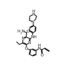 C=CC(=O)Nc1cccc(Oc2nc(Nc3ccc(N4CCNCC4)cc3)c(C(N)=O)nc2CC)c1